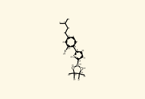 CC(C)CCc1ccc(-c2ccc(B3OC(C)(C)C(C)(C)O3)s2)c(F)c1